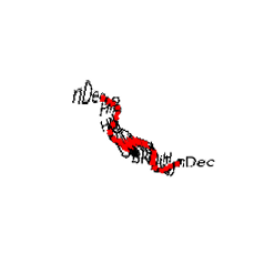 Bc1cc(C(=O)NCC(C)(C)COCC(C)(C)CC(=O)NCC(C)(C)COCC(C)(C)CNC(=O)CCCCCCCCCCCCCCC)cc(C(=O)NCC(C)(C)COCC(C)(C)CC(=O)NCC(C)(C)COCC(C)(C)CNC(=O)CCCCCCCCCCCCCCC)c1